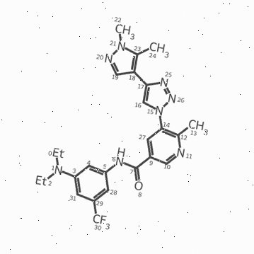 CCN(CC)c1cc(NC(=O)c2cnc(C)c(-n3cc(-c4cnn(C)c4C)nn3)c2)cc(C(F)(F)F)c1